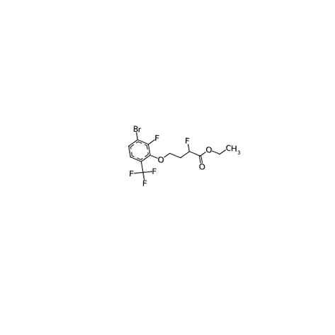 CCOC(=O)C(F)CCOc1c(C(F)(F)F)ccc(Br)c1F